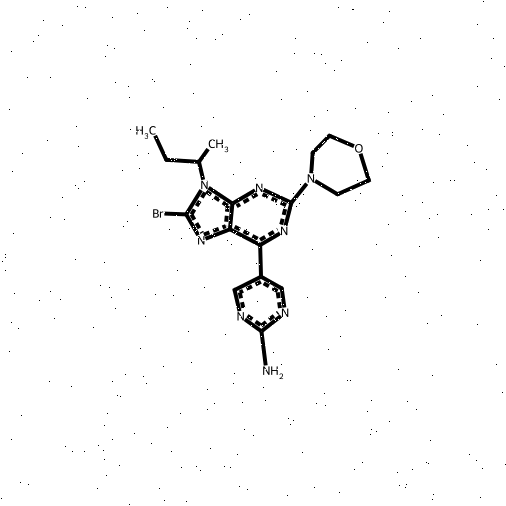 CCC(C)n1c(Br)nc2c(-c3cnc(N)nc3)nc(N3CCOCC3)nc21